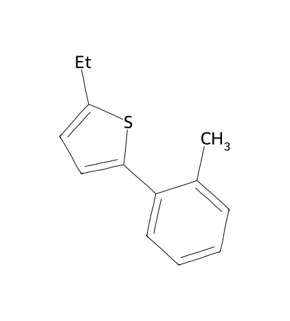 CCc1ccc(-c2ccccc2C)s1